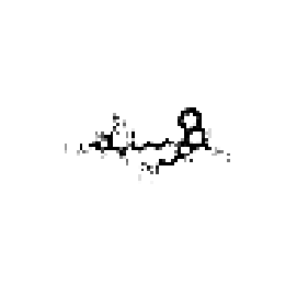 COCCc1nc2c(N)nc3ccccc3c2n1CCCCNC(=O)c1sc(C)nc1C